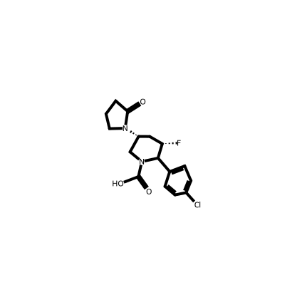 O=C(O)N1C[C@H](N2CCCC2=O)C[C@H](F)C1c1ccc(Cl)cc1